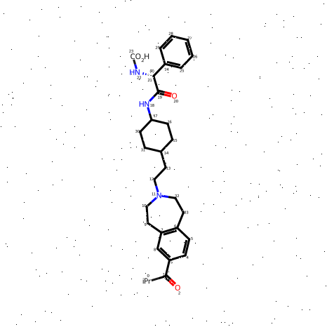 CC(C)C(=O)c1ccc2c(c1)CCN(CCC1CCC(NC(=O)[C@H](NC(=O)O)c3ccccc3)CC1)CC2